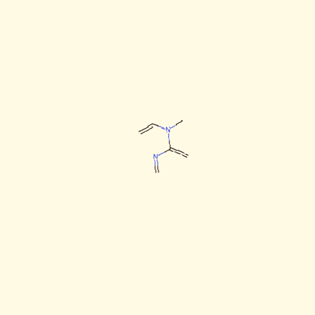 C=CN(C)C(=C)N=C